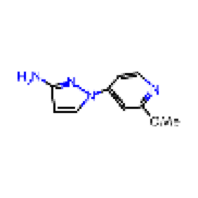 COc1cc(-n2ccc(N)n2)ccn1